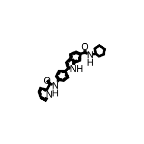 O=C(NC1CCCCC1)c1ccc2cc(-c3ccc(NC(=O)c4ccccn4)cc3)[nH]c2c1